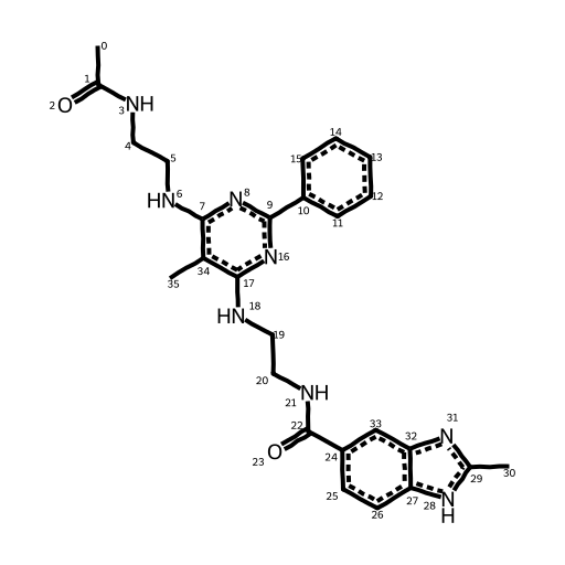 CC(=O)NCCNc1nc(-c2ccccc2)nc(NCCNC(=O)c2ccc3[nH]c(C)nc3c2)c1C